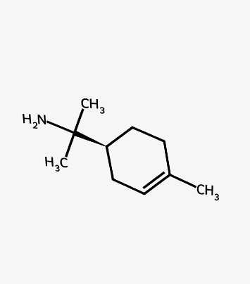 CC1=CC[C@@H](C(C)(C)N)CC1